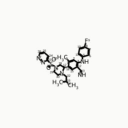 Cc1cc(Nc2ccc(F)cc2)c(C=N)cc1[C@@H]1CN(S(=O)(=O)c2cccnn2)CCN1CC(C)C